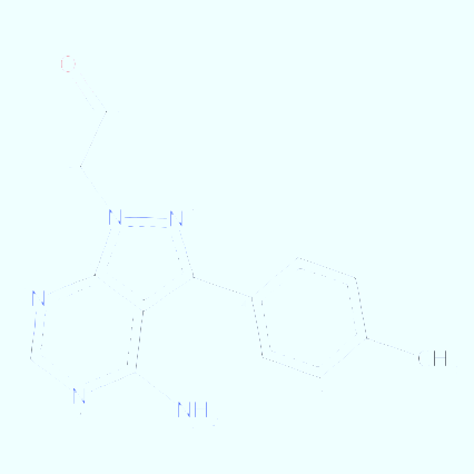 Cc1ccc(-c2nn(CC=O)c3ncnc(N)c23)cc1